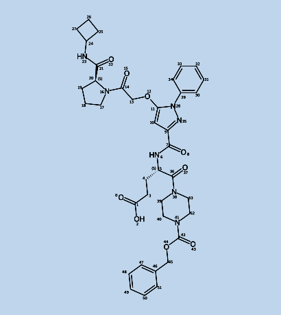 O=C(O)CC[C@H](NC(=O)c1cc(OCC(=O)N2CCC[C@H]2C(=O)NC2CCC2)n(-c2ccccc2)n1)C(=O)N1CCN(C(=O)OCc2ccccc2)CC1